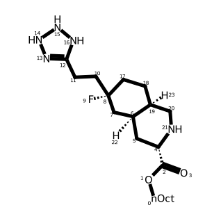 CCCCCCCCOC(=O)[C@@H]1C[C@H]2C[C@@](F)(CCC3=NNNN3)CC[C@H]2CN1